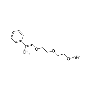 CCCOCCOCCOC=C(C)c1ccccc1